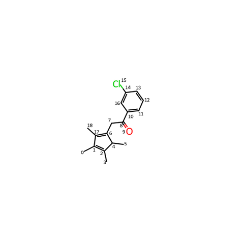 CC1=C(C)C(C)C(CC(=O)c2cccc(Cl)c2)=C1C